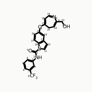 O=C(Nc1cccc(C(F)(F)F)c1)n1ccc2cc(OC3=CC=NC(CO)=CC3)ccc21